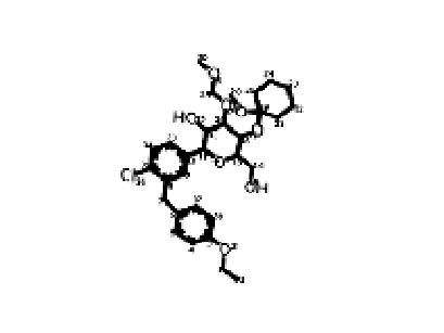 CCOc1ccc(Cc2cc(C3OC(CO)C(OC4(OC)CCCCC4)C(OCOC)C3O)ccc2Cl)cc1